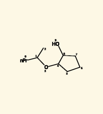 CCCC(C)OC1CCCC1O